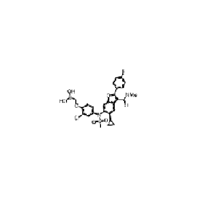 CNC(=O)c1c(-c2ccc(F)cc2)oc2cc(N(c3ccc(OCB(O)O)c(Cl)c3)S(C)(=O)=O)c(C3CC3)cc12